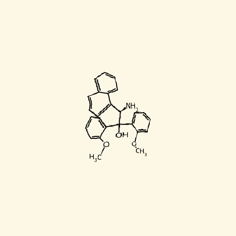 COc1ccccc1C(O)(c1ccccc1OC)[C@H](N)c1cccc2ccccc12